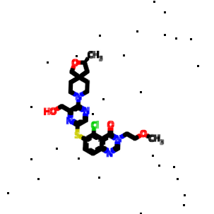 COCCn1cnc2ccc(Sc3cnc(N4CCC5(CC4)CO[C@@H](C)C5)c(CO)n3)c(Cl)c2c1=O